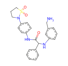 NCc1cccc(NC(C(=O)Nc2ccc(N3CCCS3(=O)=O)cc2)c2ccccc2)c1